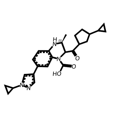 C[C@@H]1Nc2ccc(-c3cnn(C4CC4)c3)cc2N(C(=O)O)C1C(=O)C1CCC(C2CC2)C1